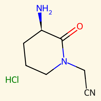 Cl.N#CCN1CCC[C@@H](N)C1=O